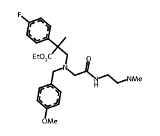 CCOC(=O)C(C)(CN(CC(=O)NCCNC)Cc1ccc(OC)cc1)c1ccc(F)cc1